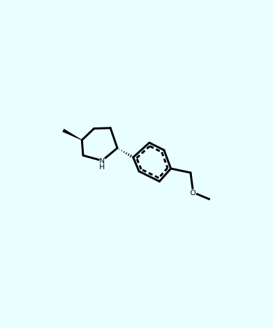 COCc1ccc([C@H]2CC[C@H](C)CN2)cc1